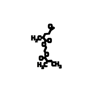 C=C(CCC1CO1)C(=O)OCCOC(=O)C(C)=CC